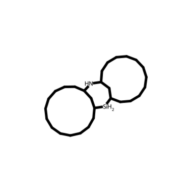 C1CCCCCCC2CC(CCCCC1)NC1CCCCCCCCCCCC(C1)[SiH2]2